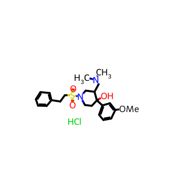 COc1cccc(C2(O)CCN(S(=O)(=O)CCc3ccccc3)CC2CN(C)C)c1.Cl